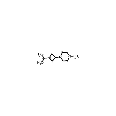 CC(C)N1CC(N2CCN(C)CC2)C1